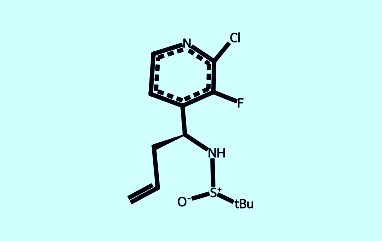 C=CC[C@H](N[S+]([O-])C(C)(C)C)c1ccnc(Cl)c1F